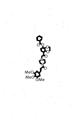 COc1cc(C=CC(=O)N2CCN(CC(=O)c3ccc(OC(=O)c4ccccc4)c4c3OCCO4)CC2)cc(OC)c1OC